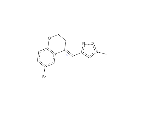 Cn1cnc(/C=C2\CCOc3ccc(Br)cc32)c1